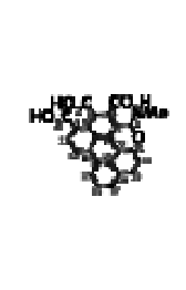 CNC(=O)c1c(C(=O)O)c(C(=O)O)c2c(C(=O)O)ccc3c4cccc5cccc(c1c23)c54